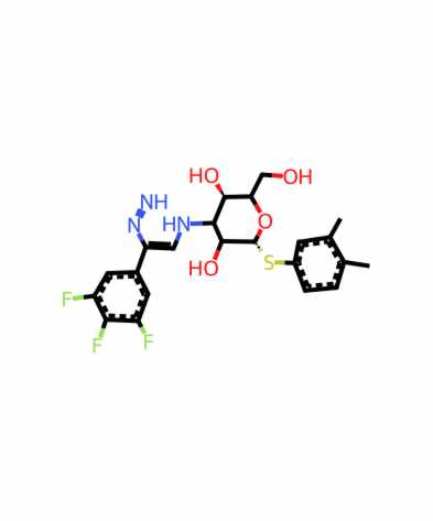 Cc1ccc(S[C@H]2OC(CO)[C@H](O)C(N/C=C(\N=N)c3cc(F)c(F)c(F)c3)C2O)cc1C